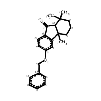 CC1(C)CCCC2(C)c3cc(OCc4ccccc4)ccc3C(=O)C12